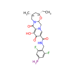 CC[C@H]1C[C@@H](C)CN2C(=O)c3c(O)c(=O)c(C(=O)NCc4c(F)cc(P)cc4F)cn3CC2O1